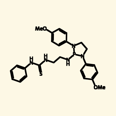 COc1ccc(N2CCN(c3ccc(OC)cc3)P2NCCNC(=S)Nc2ccccc2)cc1